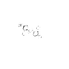 Clc1cc(Br)ccc1SSc1ccc(Br)cc1Cl